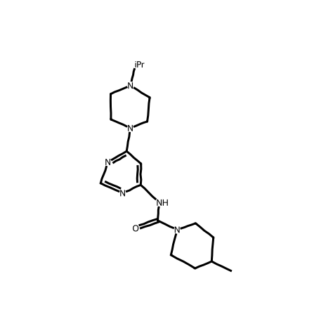 CC1CCN(C(=O)Nc2cc(N3CCN(C(C)C)CC3)ncn2)CC1